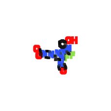 COCC(=O)N1CCN(c2cc(N3CCOCC3)nc(-n3c(C(F)F)nc4c(O)cccc43)n2)CC1